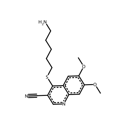 COc1cc2ncc(C#N)c(SCCCCCN)c2cc1OC